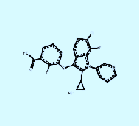 O=C(O)c1cccc(Sc2c(C3CC3)n(-c3cccnc3)c3c(F)c(Cl)ccc23)c1F.[Na]